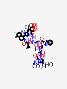 CC[C@@]1(O)C(=O)OCc2c1cc1n(c2=O)Cc2c-1nc1cc(F)c(C)c3c1c2[C@@H](NC(=O)[C@@H](OCNC(=O)CNC(=O)[C@H](Cc1ccccc1)NC(=O)CNC(=O)CNC(=O)[C@@H](CNCC(=O)O)N1CC(C=O)=CC1=O)C1CC1)CC3